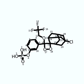 O=P(O)(O)Oc1cccc(C2(OCC(F)(F)F)OOC23C2CC4CC3CC(Cl)(C4)C2)c1